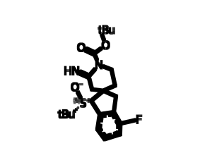 CC(C)(C)OC(=O)N1CCC2(CC1=N)Cc1c(F)cccc1C2[S@@+]([O-])C(C)(C)C